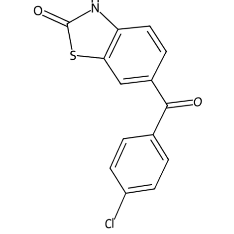 O=C(c1ccc(Cl)cc1)c1ccc2[nH]c(=O)sc2c1